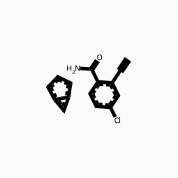 C#Cc1cc(Cl)ccc1C(N)=O.c1cc2cc-2c1